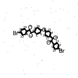 O=C(C(=O)c1ccc(Oc2ccc(C(=O)C(=O)c3ccc(Br)cc3)cc2)cc1)c1ccc(Br)cc1